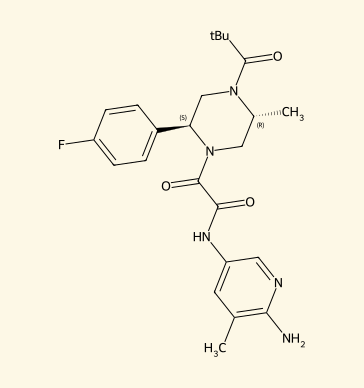 Cc1cc(NC(=O)C(=O)N2C[C@@H](C)N(C(=O)C(C)(C)C)C[C@@H]2c2ccc(F)cc2)cnc1N